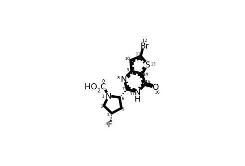 O=C(O)N1C[C@@H](F)C[C@H]1c1nc2cc(Br)sc2c(=O)[nH]1